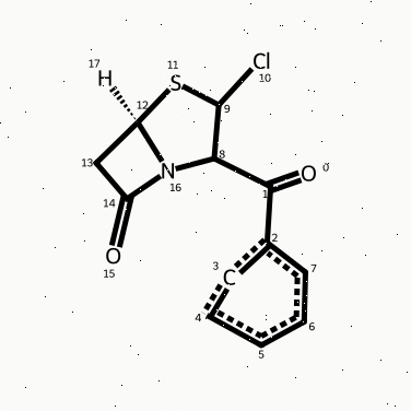 O=C(c1ccccc1)C1C(Cl)S[C@@H]2CC(=O)N12